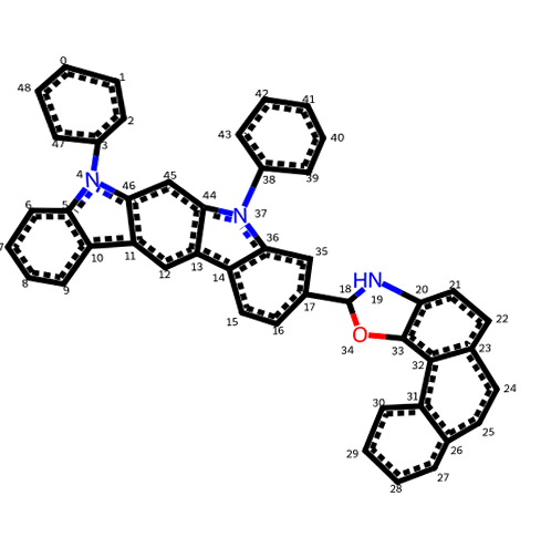 c1ccc(-n2c3ccccc3c3cc4c5ccc(C6Nc7ccc8ccc9ccccc9c8c7O6)cc5n(-c5ccccc5)c4cc32)cc1